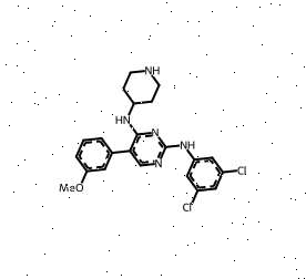 COc1cccc(-c2cnc(Nc3cc(Cl)cc(Cl)c3)nc2NC2CCNCC2)c1